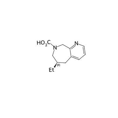 CC[C@@H]1Cc2cccnc2CN(C(=O)O)C1